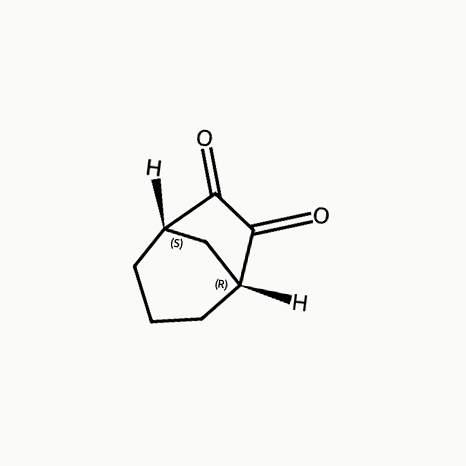 O=C1C(=O)[C@H]2CCC[C@@H]1C2